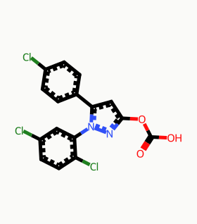 O=C(O)Oc1cc(-c2ccc(Cl)cc2)n(-c2cc(Cl)ccc2Cl)n1